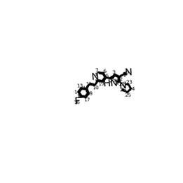 N#Cc1cc(-c2ccnc(C=Cc3ccc(F)cc3)c2)[nH]c1N1CCCC1